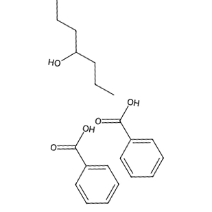 CCCC(O)CCC.O=C(O)c1ccccc1.O=C(O)c1ccccc1